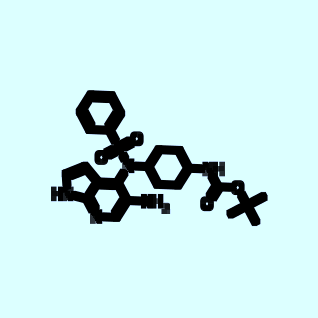 CC(C)(C)OC(=O)NC1CCC(N(c2c(N)cnc3[nH]ccc23)S(=O)(=O)c2ccccc2)CC1